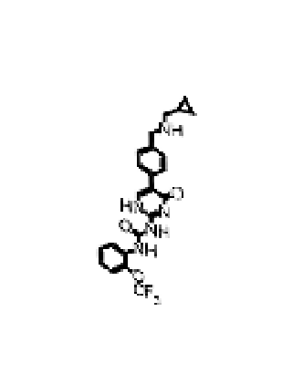 O=C(Nc1nc(=O)c(-c2ccc(CNCC3CC3)cc2)c[nH]1)Nc1ccccc1OC(F)(F)F